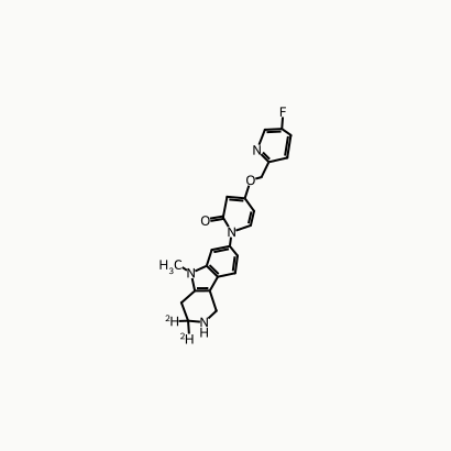 [2H]C1([2H])Cc2c(c3ccc(-n4ccc(OCc5ccc(F)cn5)cc4=O)cc3n2C)CN1